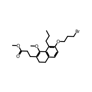 CCCc1c(OCCCBr)ccc2c1C(OC)=C(CCC(=O)OC)CC2